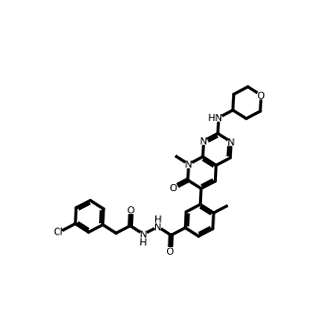 Cc1ccc(C(=O)NNC(=O)Cc2cccc(Cl)c2)cc1-c1cc2cnc(NC3CCOCC3)nc2n(C)c1=O